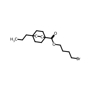 CCCC12CCC(C(=O)OCCCCBr)(CC1)CC2